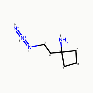 [N-]=[N+]=NCCC1(N)CCC1